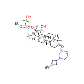 CCO[C@@H]([C@H]1C[C@@H](C)[C@H]2[C@H](O1)[C@H](O)[C@@]1(C)[C@@H]3CC[C@H]4C(C)(C)[C@@H](O[C@H]5CN(C6CN(C(C)C)C6)CCO5)CCC45C[C@@]35CC[C@]21C)C(C)(C)O